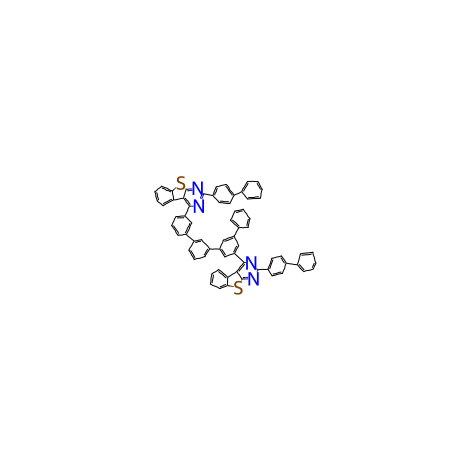 c1ccc(-c2ccc(-c3nc(-c4cccc(-c5cccc(-c6cc(-c7ccccc7)cc(-c7nc(-c8ccc(-c9ccccc9)cc8)nc8sc9ccccc9c78)c6)c5)c4)c4c(n3)sc3ccccc34)cc2)cc1